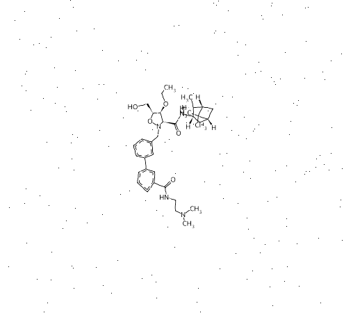 CCO[C@@H]1[C@H](CO)ON(Cc2cccc(-c3cccc(C(=O)NCCN(C)C)c3)c2)[C@@H]1C(=O)N[C@H]1C[C@H]2C[C@@H]([C@@H]1C)C2(C)C